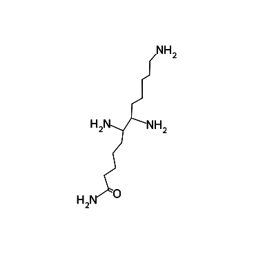 NCCCCCC(N)C(N)CCCCC(N)=O